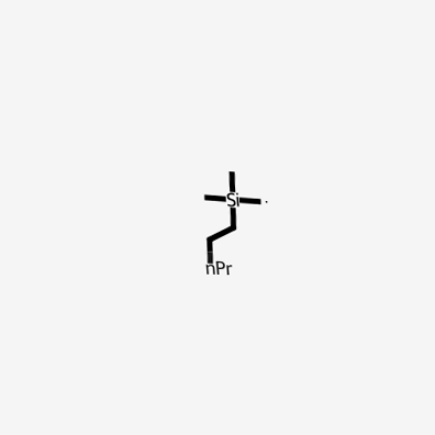 [CH2][Si](C)(C)CCCCC